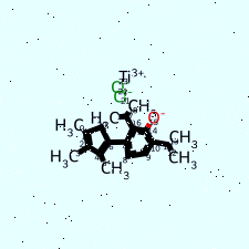 CC1=C(C)C(C)=C(c2ccc(C(C)C)c([O-])c2C(C)C)C1.[Cl-].[Cl-].[Ti+3]